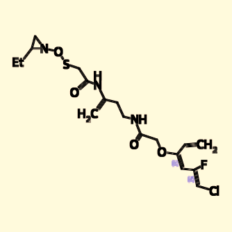 C=C/C(=C\C(F)=C\Cl)OCC(=O)NCCC(=C)NC(=O)CSON1CC1CC